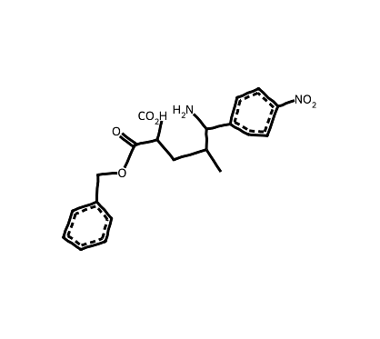 CC(CC(C(=O)O)C(=O)OCc1ccccc1)C(N)c1ccc([N+](=O)[O-])cc1